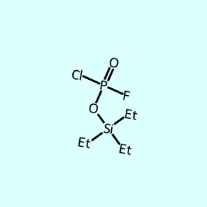 CC[Si](CC)(CC)OP(=O)(F)Cl